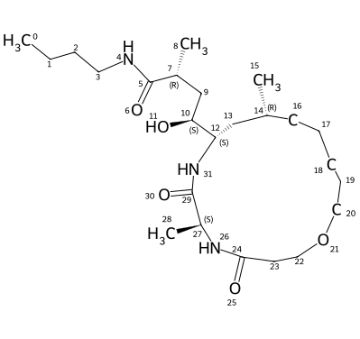 CCCCNC(=O)[C@H](C)C[C@H](O)[C@@H]1C[C@H](C)CCCCCOCCC(=O)N[C@@H](C)C(=O)N1